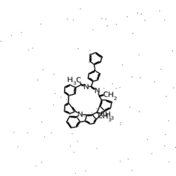 C=C1/N=C(c2ccc(-c3ccccc3)cc2)\N=C(/C)c2cccc(c2)-c2cccc(c2)-n2c3ccccc3c3ccc4c(c32)C(C)(C)c2c1cccc2-4